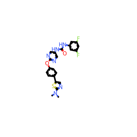 CN(C)c1ncc(-c2ccc(Oc3ncc(NC(=O)Nc4cc(F)cc(F)c4)cn3)cc2)s1